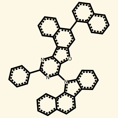 c1ccc(-c2nc(-n3c4ccccc4c4ccc5ccccc5c43)c3oc4cc(-c5cccc6ccccc56)c5ccccc5c4c3n2)cc1